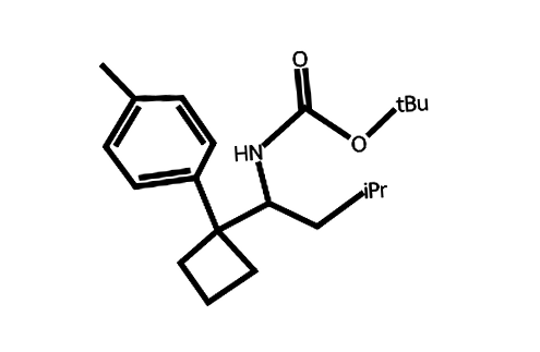 Cc1ccc(C2(C(CC(C)C)NC(=O)OC(C)(C)C)CCC2)cc1